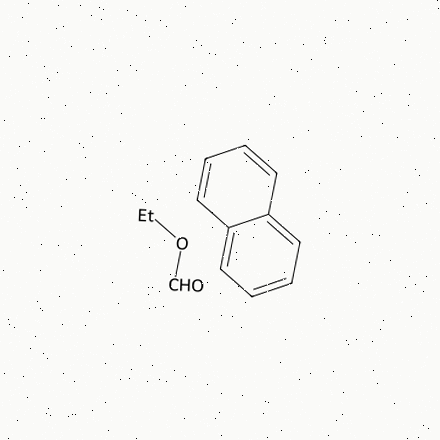 CCOC=O.c1ccc2ccccc2c1